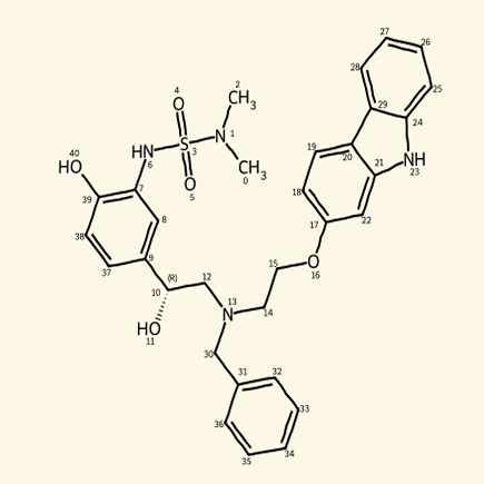 CN(C)S(=O)(=O)Nc1cc([C@@H](O)CN(CCOc2ccc3c(c2)[nH]c2ccccc23)Cc2ccccc2)ccc1O